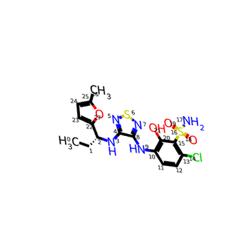 CC[C@@H](Nc1nsnc1Nc1ccc(Cl)c(S(N)(=O)=O)c1O)c1ccc(C)o1